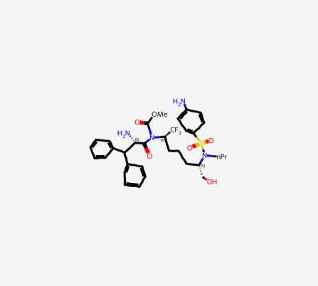 CCCN([C@H](CO)CCC[C@@H](N(C(=O)OC)C(=O)[C@@H](N)C(c1ccccc1)c1ccccc1)C(F)(F)F)S(=O)(=O)c1ccc(N)cc1